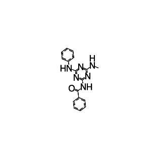 CNc1nc(NC(=O)c2ccccc2)nc(Nc2ccccc2)n1